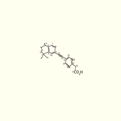 CC1(C)CCSc2ccc(C#Cc3cnc(CC(=O)O)nc3)cc21